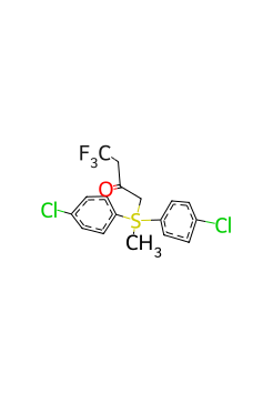 CS(CC(=O)CC(F)(F)F)(c1ccc(Cl)cc1)c1ccc(Cl)cc1